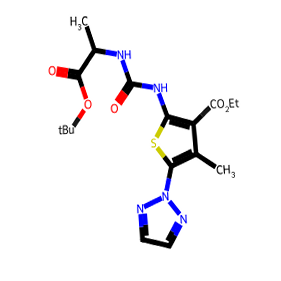 CCOC(=O)c1c(NC(=O)NC(C)C(=O)OC(C)(C)C)sc(-n2nccn2)c1C